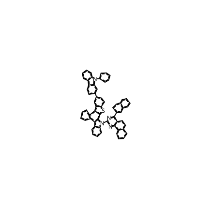 c1ccc(-n2c3ccccc3c3ccc(-c4ccc5sc6c(c5c4)c4ccccc4c4c5ccccc5n(-c5nc(-c7ccc8ccccc8c7)c7ccc8ccccc8c7n5)c64)cc32)cc1